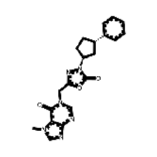 Cn1cnc2ncn(Cc3nn([C@H]4CC[C@H](c5ccccc5)C4)c(=O)o3)c(=O)c21